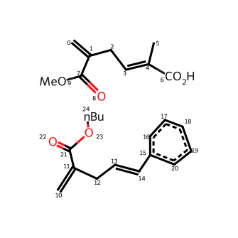 C=C(CC=C(C)C(=O)O)C(=O)OC.C=C(CC=Cc1ccccc1)C(=O)OCCCC